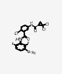 CC(=O)Nc1ccc(F)c(NC(=O)c2cc(NC(=O)[C@H]3CC3(Cl)Cl)ccc2Cl)c1F